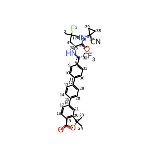 CC(C)(F)C[C@H](N[C@@H](c1ccc(-c2ccc(-c3ccc4c(c3)C(C)(C)OC4=O)cc2)cc1)C(F)(F)F)C(=O)NC1(C#N)CC1